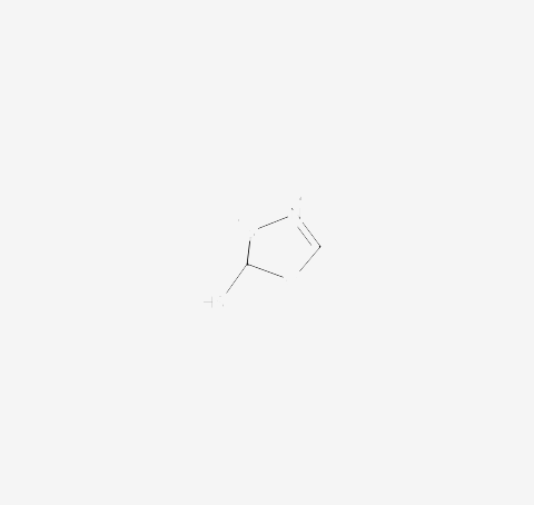 SC1OC=NS1